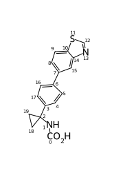 O=C(O)NC1(c2ccc(-c3ccc4scnc4c3)cc2)CC1